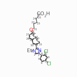 CCn1cc(-c2ccc(Cl)cc2Cl)nc1-c1ccc2cc(OCCCCCC(=O)O)ccc2c1